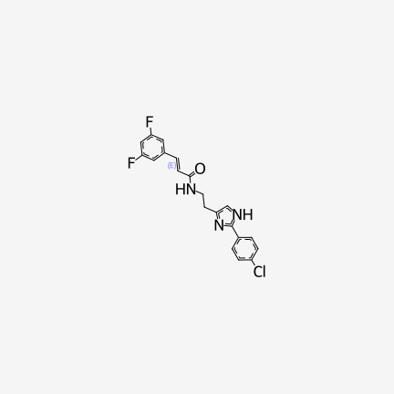 O=C(/C=C/c1cc(F)cc(F)c1)NCCc1c[nH]c(-c2ccc(Cl)cc2)n1